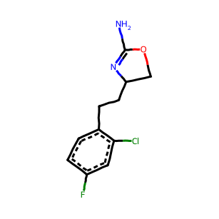 NC1=NC(CCc2ccc(F)cc2Cl)CO1